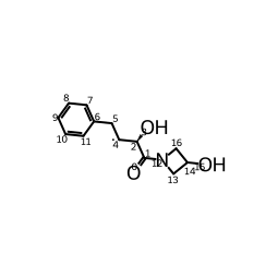 O=C([C@H](O)[CH]Cc1ccccc1)N1CC(O)C1